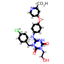 O=C(O)c1cc(Oc2ccc(/N=c3\[nH]c(=O)n(CCO)c(=O)n3Cc3ccc(Cl)cc3)cc2)ccn1